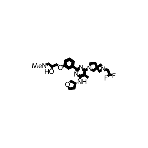 CNCC(O)COc1cccc(-c2nc(N[C@@H]3CCOC3)c(C)c(N3CCC4(CN(CC(F)F)C4)C3)n2)c1